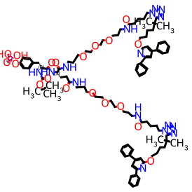 CC(C)(C)OC(=O)N[C@H](Cc1ccc(OP(=O)(O)O)cc1)C(=O)N[C@@H](CCC(=O)NCCCOCCOCCOCCCNC(=O)CCCCn1nnnc1C(C)(C)CCCCOc1cc(-c2ccccc2)cc(-c2ccccc2)n1)C(=O)NCCCOCCOCCOCCCNC(=O)CCCCn1nnnc1C(C)(C)CCCCOc1cc(-c2ccccc2)cc(-c2ccccc2)n1